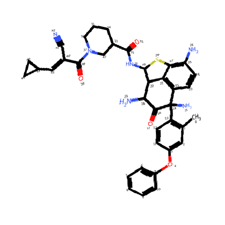 Cc1cc(Oc2ccccc2)ccc1C1(N)C(=O)C(N)C2c3c1ccc(N)c3SC2NC(=O)C1CCCN(C(=O)/C(C#N)=C/C2CC2)C1